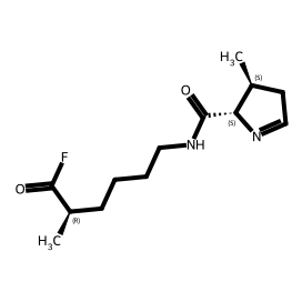 C[C@H](CCCCNC(=O)[C@H]1N=CC[C@@H]1C)C(=O)F